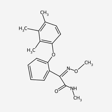 CNC(=O)C(=NOC)c1ccccc1Oc1ccc(C)c(C)c1C